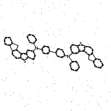 c1ccc(N(c2ccc(-c3ccc(N(c4ccccc4)c4ccc5sc6ccc7c(c6c5c4)Cc4ccccc4-7)cc3)cc2)c2ccc3sc4ccc5c(c4c3c2)Cc2ccccc2-5)cc1